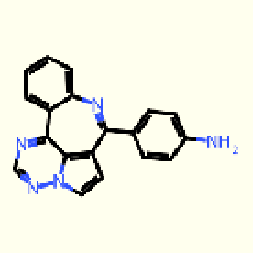 Nc1ccc(C2=Nc3ccccc3-c3ncnn4ccc2c34)cc1